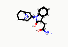 CN1C2CCCC1CC(N1C(=O)C(CC(N)=O)c3ccccc31)C2